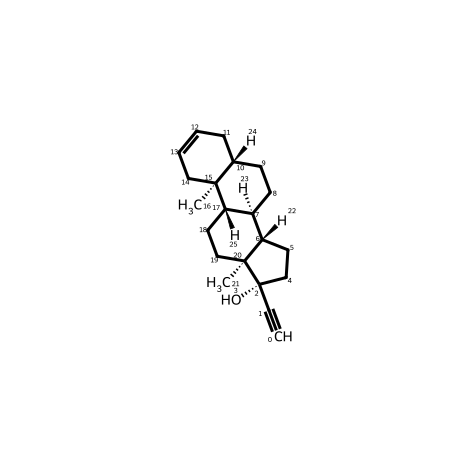 C#C[C@]1(O)CC[C@H]2[C@@H]3CC[C@H]4CC=CC[C@]4(C)[C@H]3CC[C@@]21C